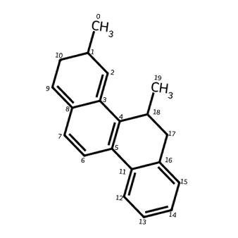 CC1C=c2c3c(ccc2=CC1)-c1ccccc1CC3C